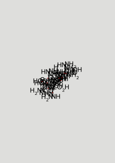 N=C(N)NCCC[C@H](NC(=O)[C@H](CCCNC(=N)N)NC(=O)[C@H](COP(=O)(O)O)NC(=O)[C@H](CCCNC(=N)N)NC(=O)[C@H](COP(=O)(O)O)NC(=O)[C@H](CCCNC(=N)N)NC(=O)[C@H](COP(=O)(O)O)NC(=O)[C@H](CCCNC(=N)N)NC(=O)[C@@H](N)COP(=O)(O)O)C(=O)O